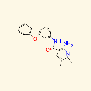 Cc1cc(C(=O)Nc2cccc(Oc3ccccc3)c2)c(N)nc1C